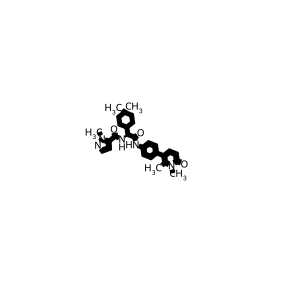 Cc1c(-c2ccc(NC(=O)[C@@H](NC(=O)c3ccnn3C)C3CCC(C)(C)CC3)cc2)ccc(=O)n1C